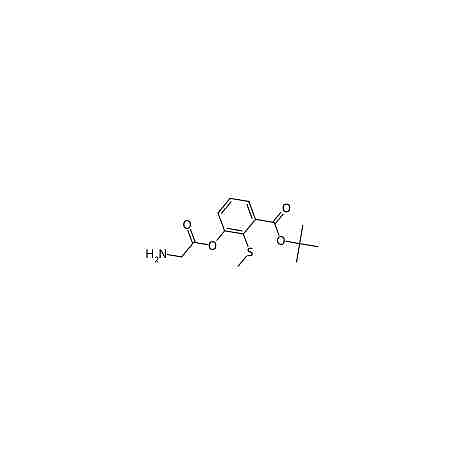 CSc1c(OC(=O)CN)cccc1C(=O)OC(C)(C)C